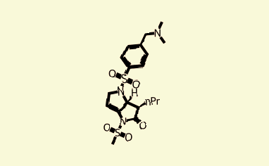 CCC[C@H]1C(=O)N(S(C)(=O)=O)C2=CCN(S(=O)(=O)c3ccc(CN(C)C)cc3)[C@@H]21